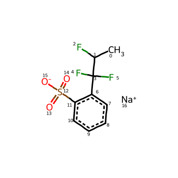 CC(F)C(F)(F)c1ccccc1S(=O)(=O)[O-].[Na+]